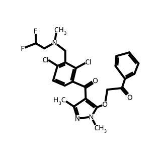 Cc1nn(C)c(OCC(=O)c2ccccc2)c1C(=O)c1ccc(Cl)c(CN(C)CC(F)F)c1Cl